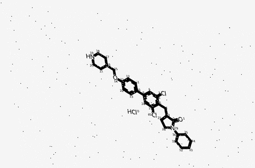 Cl.O=C1C(Cc2c(Cl)cc(-c3ccc(OCC4CCNCC4)cc3)cc2Cl)CCN1C1CCCCC1